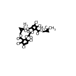 CC1(C)CC1COC(=O)c1c(Cl)c(Cl)cc(Cl)c1OC(=O)C(=O)Oc1c(Cl)cc(Cl)c(Cl)c1C(=O)OCC1CC1(C)C